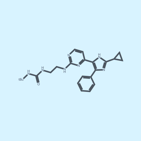 CC(C)(C)NC(=O)NCCNc1nccc(-c2[nH]c(C3CC3)nc2-c2ccccc2)n1